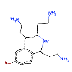 NCCC1NC(CCN)C(CCN)c2cc(Br)ccc21